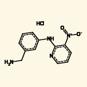 Cl.NCc1cccc(Nc2ncccc2[N+](=O)[O-])c1